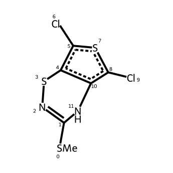 CSC1=NSc2c(Cl)sc(Cl)c2N1